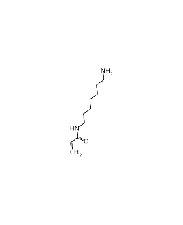 C=CC(=O)NCCCCCCCN